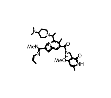 C/C=C\N=C(/NC)c1cc2cc(C(=O)NCc3c(OC)cc(C)[nH]c3=O)c(C)c(C(C)N3CCC(N(C)C)CC3)n2c1